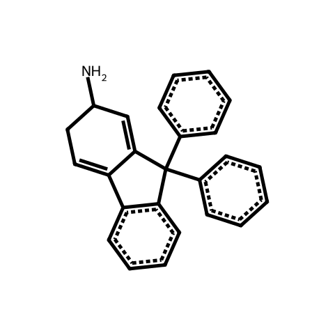 NC1C=C2C(=CC1)c1ccccc1C2(c1ccccc1)c1ccccc1